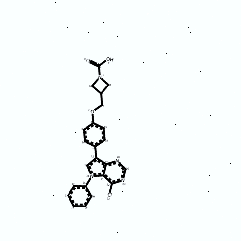 O=C(O)N1CC(COc2ccc(-c3cn(-c4ccccc4)c4c(Cl)ncnc34)cc2)C1